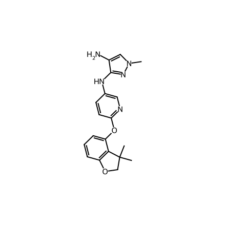 Cn1cc(N)c(Nc2ccc(Oc3cccc4c3C(C)(C)CO4)nc2)n1